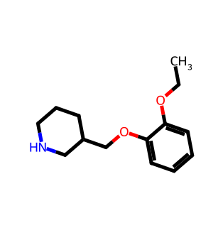 CCOc1ccccc1OCC1CCCNC1